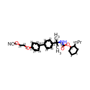 CCCC1CCCCC1OC(=O)NC(C)(C)c1ccc(-c2ccc(OCCOC#N)cc2)cc1